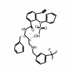 C#Cc1cccc(C(=O)N[C@@H](Cc2ccccc2)[C@H](O)CNCc2cccc(C(F)(F)F)c2)c1N(c1ccccc1)S(C)(=O)=O